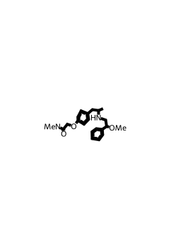 CNC(=O)COc1ccc(CC(C)NCC(OC)c2ccccc2)cc1